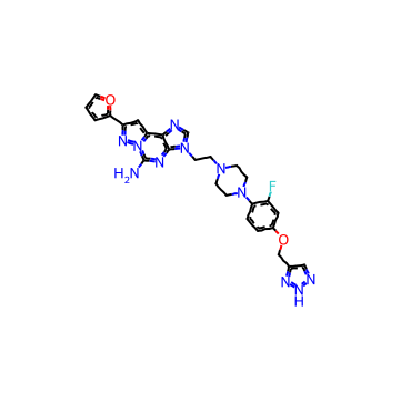 Nc1nc2c(ncn2CCN2CCN(c3ccc(OCc4cn[nH]n4)cc3F)CC2)c2cc(-c3ccco3)nn12